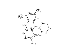 O=c1c(C(F)(F)F)nnc(Nc2ccc(C(F)(F)F)cc2C(F)(F)F)n1CC1CCCCC1